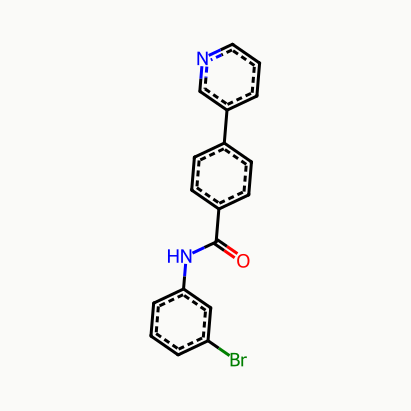 O=C(Nc1cccc(Br)c1)c1ccc(-c2cccnc2)cc1